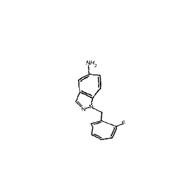 Nc1ccc2c(cnn2Cc2ccccc2F)c1